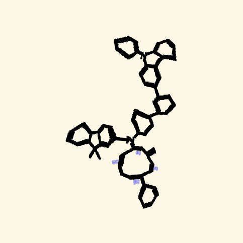 C=C1/C=C\C(c2ccccc2)=C/C/C=C\C(N(c2ccc(-c3cccc(-c4ccc5c(c4)c4ccccc4n5-c4ccccc4)c3)cc2)c2ccc3c(c2)C(C)(C)c2ccccc2-3)=C/1